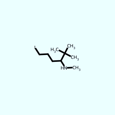 CNC(CCCI)C(C)(C)C